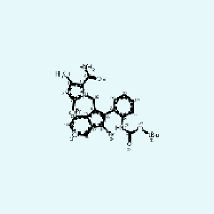 CCCc1nc(C)c(C(N)=O)n1Cc1c2ccocc-2c(Br)c1-c1ccccc1NC(=O)OC(C)(C)C